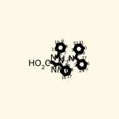 CNc1c(C(=O)O)nc(-c2ccccc2)nc1-c1ccccc1.NC(c1ccccc1)c1ccccc1